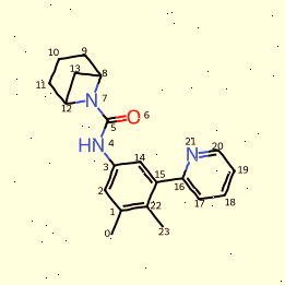 Cc1cc(NC(=O)N2C3CCCC2C3)cc(-c2ccccn2)c1C